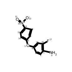 Nc1ccc(Oc2ccc([N+](=O)[O-])cc2)cc1F